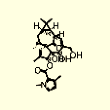 CC1=C[C@]23C(=O)[C@@H](C=C(CO)[C@@H](O)[C@]2(O)[C@H]1OC(=O)c1c(C)ccn1C)[C@H]1[C@@H](C[C@H]3C)C1(C)C